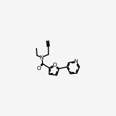 C#CCN(CC)C(=O)c1ccc(-c2cccnc2)o1